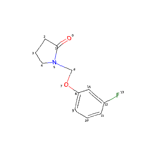 O=C1CCCN1COc1cccc(F)c1